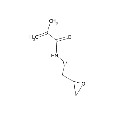 C=C(C)C(=O)NOCC1CO1